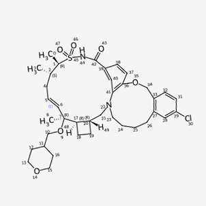 C[C@@H]1[C@@H](C)C/C=C/[C@](C)(OCC2CCOCC2)[C@@H]2CC[C@H]2CN2CCCCc3cc(Cl)ccc3COc3ccc(cc32)C(=O)NS1(=O)=O